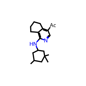 CC(=O)c1cnc(NC2CC(C)CC(C)(C)C2)c2c1CCCC2